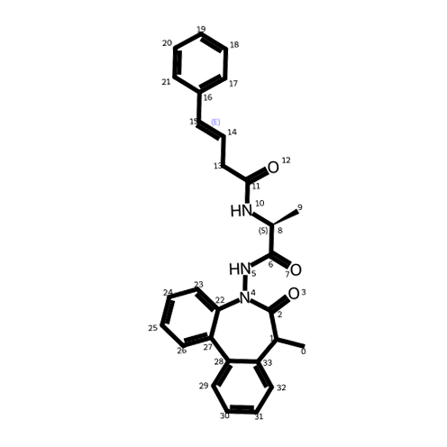 CC1C(=O)N(NC(=O)[C@H](C)NC(=O)C/C=C/c2ccccc2)c2ccccc2-c2ccccc21